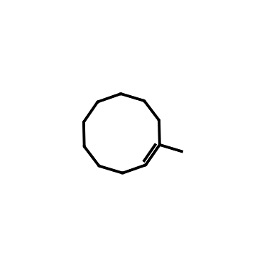 C/C1=C/CCCCCCCC1